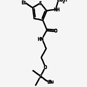 CCc1cc(C(=O)NCCO[Si](C)(C)C(C)(C)C)c(NC(=O)O)s1